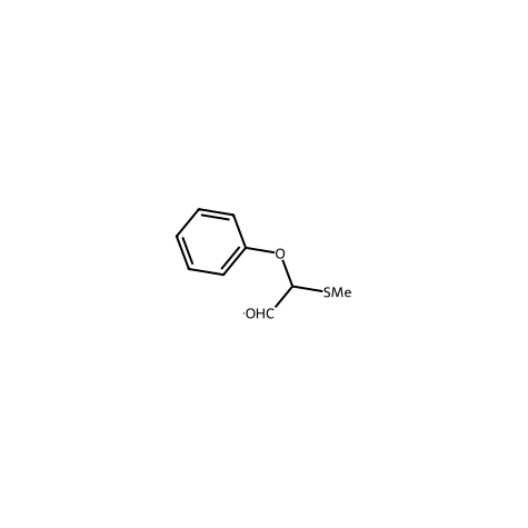 CSC([C]=O)Oc1ccccc1